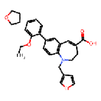 C1CCOC1.CCOc1ccccc1-c1ccc2c(c1)C=C(C(=O)O)CCN2Cc1ccoc1